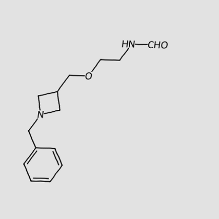 O=CNCCOCC1CN(Cc2ccccc2)C1